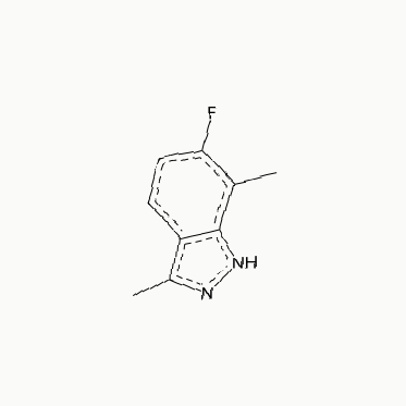 Cc1n[nH]c2c(C)c(F)ccc12